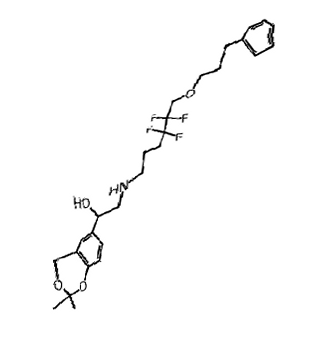 CC1(C)OCc2cc(C(O)CNCCCC(F)(F)C(F)(F)COCCCc3ccccc3)ccc2O1